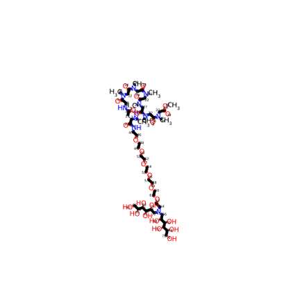 CN[C@@H](CC(=O)NCC(=O)N(C)CC(=O)N(C)CC(=O)N(C)CC(=O)N(C)CC(=O)N(C)CC(=O)N(C)CC(=O)OC)C(=O)NCCOCCOCCOCCOCCOCCOCCN(C[C@H](O)[C@@H](O)[C@H](O)[C@H](O)CO)C[C@H](O)[C@@H](O)[C@H](O)[C@H](O)CO